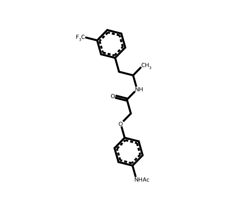 CC(=O)Nc1ccc(OCC(=O)NC(C)Cc2cccc(C(F)(F)F)c2)cc1